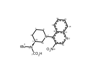 CC(C)(C)N(C(=O)O)[C@H]1CCCN(c2c([N+](=O)[O-])cnc3ccccc23)C1